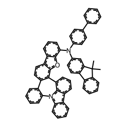 CC1(C)c2ccccc2-c2ccc(N(c3ccc(-c4ccccc4)cc3)c3cccc4c3oc3c5c(ccc34)-c3ccccc3-n3c4ccccc4c4cccc-5c43)cc21